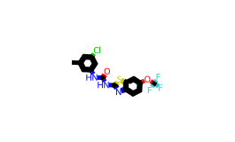 Cc1cc(Cl)cc(NC(=O)Nc2nc3ccc(OC(F)(F)F)cc3s2)c1